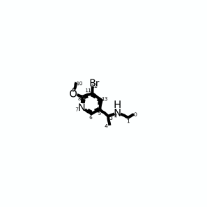 CCNC(C)c1cnc(OC)c(Br)c1